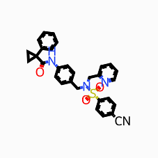 N#Cc1ccc(S(=O)(=O)N(Cc2ccc(NC(=O)C3(c4ccccc4)CC3)cc2)Cc2ccccn2)cc1